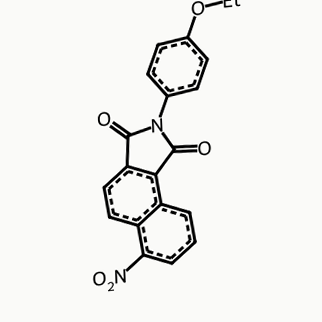 CCOc1ccc(N2C(=O)c3ccc4c([N+](=O)[O-])cccc4c3C2=O)cc1